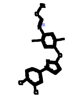 CCO/C=N/c1cc(C)c(Oc2ccn(-c3ccc(Cl)c(Cl)c3)n2)cc1C